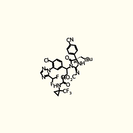 CC(C)(C)C[C@]1(c2ccc(C#N)cc2)NC(=NC(=O)O)N(C(COC(=O)NC2(C(F)(F)F)CC2)c2ccc(Cl)c(-n3ncnc3C(F)F)c2)C1=O